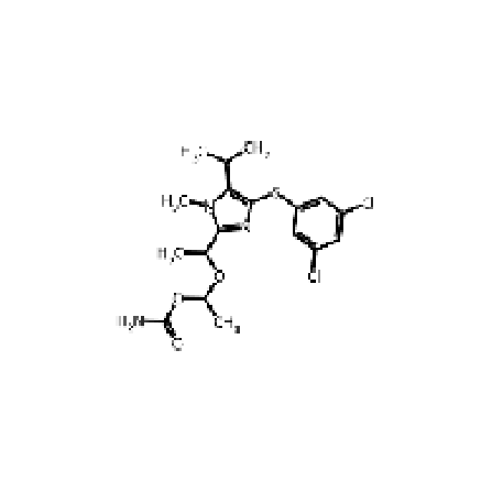 CC(OC(N)=O)OC(C)c1nc(Sc2cc(Cl)cc(Cl)c2)c(C(C)C)n1C